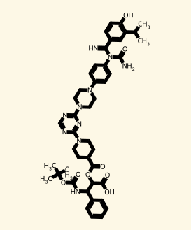 CC(C)c1cc(C(=N)N(C(N)=O)c2ccc(N3CCN(c4ncnc(N5CCC(C(=O)OC(C(=O)O)C(NC(=O)OC(C)(C)C)c6ccccc6)CC5)n4)CC3)cc2)ccc1O